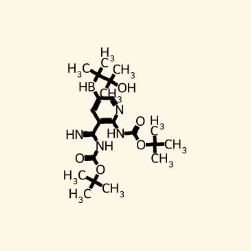 CC(C)(C)OC(=O)NC(=N)c1cc(BC(C)(C)C(C)(C)O)cnc1NC(=O)OC(C)(C)C